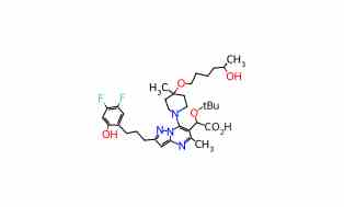 Cc1nc2cc(CCCc3cc(F)c(F)cc3O)nn2c(N2CCC(C)(OCCCC[C@@H](C)O)CC2)c1C(OC(C)(C)C)C(=O)O